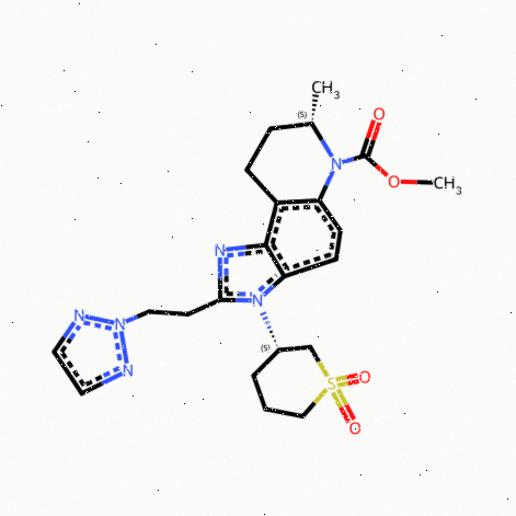 COC(=O)N1c2ccc3c(nc(CCn4nccn4)n3[C@H]3CCCS(=O)(=O)C3)c2CC[C@@H]1C